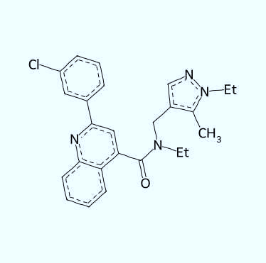 CCN(Cc1cnn(CC)c1C)C(=O)c1cc(-c2cccc(Cl)c2)nc2ccccc12